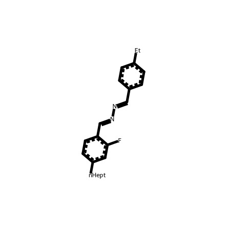 CCCCCCCc1ccc(/C=N/N=C/c2ccc(CC)cc2)c(F)c1